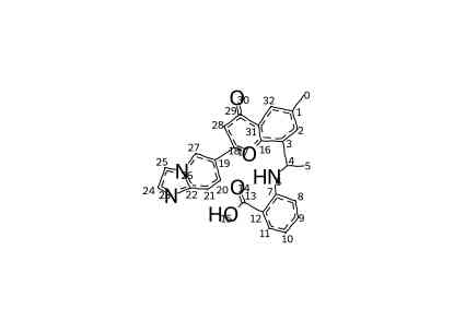 Cc1cc(C(C)Nc2ccccc2C(=O)O)c2oc(-c3ccc4nccn4c3)cc(=O)c2c1